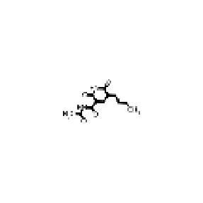 CCCCC1CC(C(=O)NC(C)=O)C(=O)NC1=O